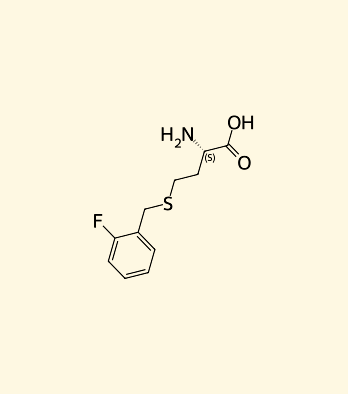 N[C@@H](CCSCc1ccccc1F)C(=O)O